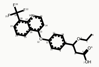 CCOC(CC(=O)O)c1ccc(Oc2ccnc3c(C(F)(F)F)cccc23)cc1